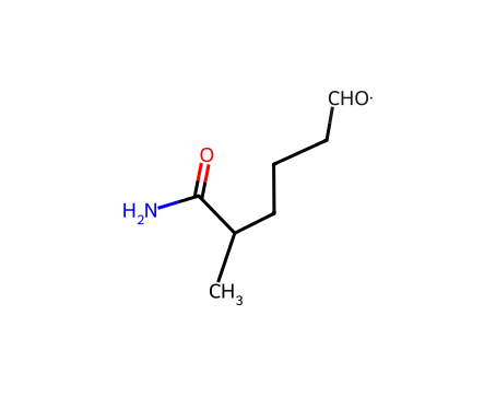 CC(CCC[C]=O)C(N)=O